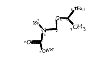 COC(=O)N(COC(C)C(C)(C)C)C(C)(C)C